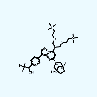 C[Si](C)(C)CCOCN(COCC[Si](C)(C)C)c1cc([C@H]2C[C@@H]3CC[C@@H](C3)C2)nc2c(-c3ccc(C(O)C(F)(F)F)nc3)cnn12